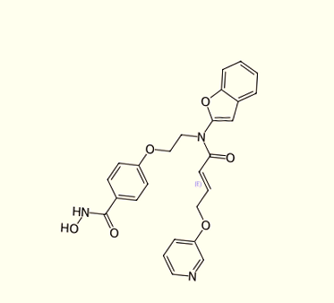 O=C(NO)c1ccc(OCCN(C(=O)/C=C/COc2cccnc2)c2cc3ccccc3o2)cc1